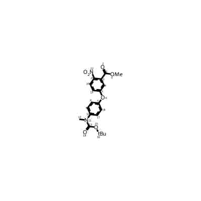 COC(=O)c1cc(Oc2ccc(N(C)C(=O)OC(C)(C)C)cc2)ccc1[N+](=O)[O-]